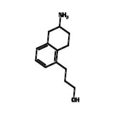 NC1CCc2c(CCCO)cccc2C1